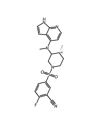 C[C@@H]1CCN(S(=O)(=O)c2ccc(F)c(C#N)c2)CC1N(C)c1ccnc2[nH]ccc12